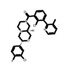 Cc1cccnc1-c1cccc(C(=O)N2CCN3C[C@@H](c4ccc(F)c(Cl)c4)OC[C@@H]3C2)c1Cl